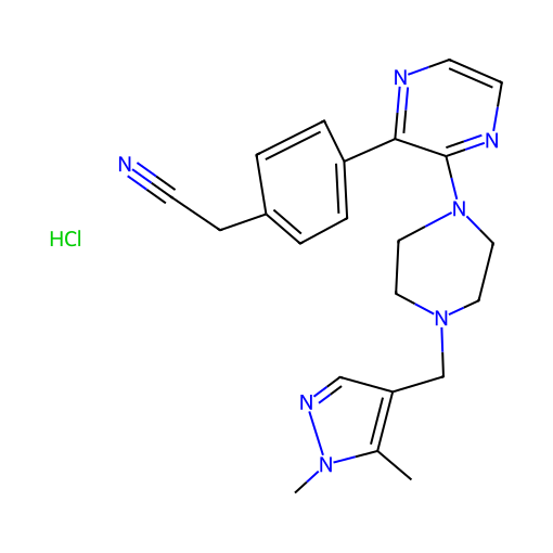 Cc1c(CN2CCN(c3nccnc3-c3ccc(CC#N)cc3)CC2)cnn1C.Cl